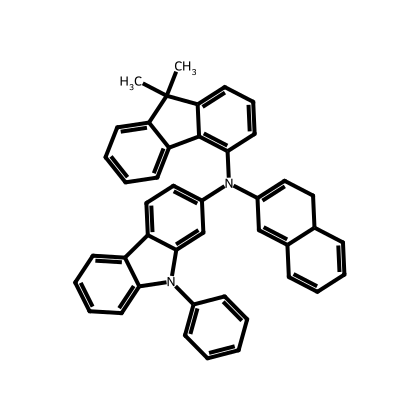 CC1(C)c2ccccc2-c2c(N(C3=CCC4C=CC=CC4=C3)c3ccc4c5ccccc5n(-c5ccccc5)c4c3)cccc21